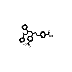 CC(CC(CC(CCc1ccc(C(=O)O)cc1)c1ccc(C(=O)O)cc1)c1ccccc1)c1ccccc1